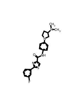 CN(C)C1CCN(c2ccc(NC(=O)c3csc(-c4cccc(F)c4)n3)cc2)C1